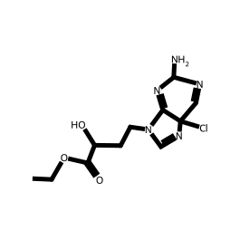 CCOC(=O)C(O)CCN1C=NC2(Cl)C=NC(N)N=C12